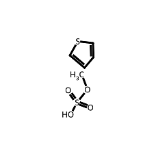 COS(=O)(=O)O.c1ccsc1